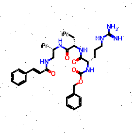 CC(C)C[C@H](NC(=O)[C@H](CCCNC(=N)N)NC(=O)OCc1ccccc1)C(=O)N[C@H](CNC(=O)/C=C/c1ccccc1)C(C)C